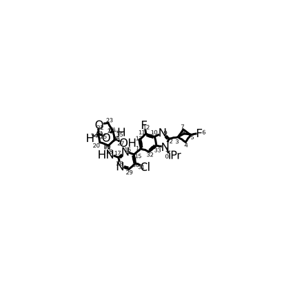 CC(C)n1c(C23CC(F)(C2)C3)nc2c(F)cc(-c3nc(N[C@@H]4C[C@H]5OC[C@H](O5)[C@H]4O)ncc3Cl)cc21